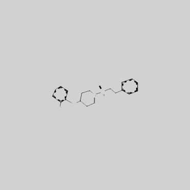 O=S(=O)(C[CH]c1ccccc1)N1CCC(Oc2ccccc2Cl)CC1